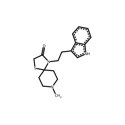 CN1CCC2(CC1)SCC(=O)N2CCc1c[nH]c2ccccc12